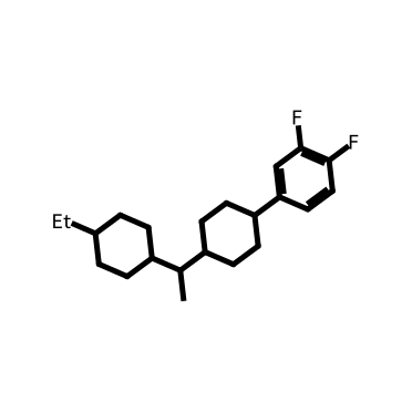 CCC1CCC(C(C)C2CCC(c3ccc(F)c(F)c3)CC2)CC1